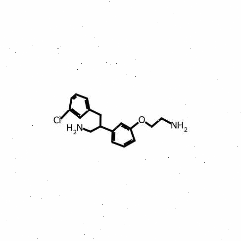 NCCOc1cccc(C(CN)Cc2cccc(Cl)c2)c1